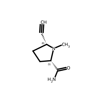 C#C[C@H]1CC[C@@H](C(N)=O)N1C